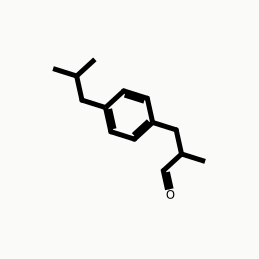 CC(C)Cc1ccc(CC(C)C=O)cc1